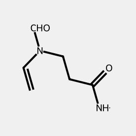 C=CN(C=O)CCC([NH])=O